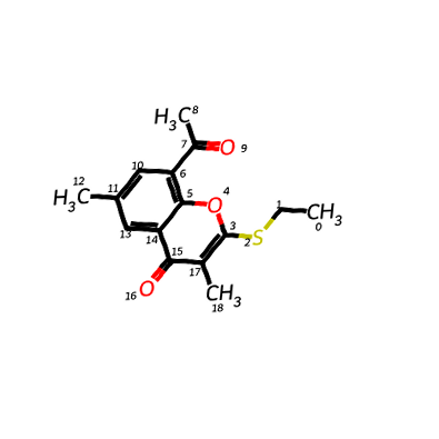 CCSc1oc2c(C(C)=O)cc(C)cc2c(=O)c1C